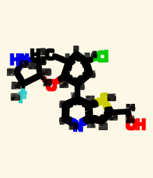 Cc1cc(Cl)cc(-c2ccnc3cc(CO)sc23)c1O[C@H]1CNC[C@H]1F